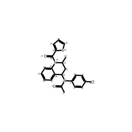 CC(=O)N(c1ccc(Cl)cc1)C1CC(C)N(C(=O)c2cccs2)c2ccccc21